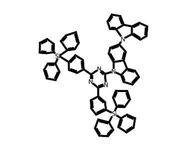 c1ccc([Si](c2ccccc2)(c2ccccc2)c2ccc(-c3nc(-c4cccc([Si](c5ccccc5)(c5ccccc5)c5ccccc5)c4)nc(-n4c5ccccc5c5cc(-n6c7ccccc7c7ccccc76)ccc54)n3)cc2)cc1